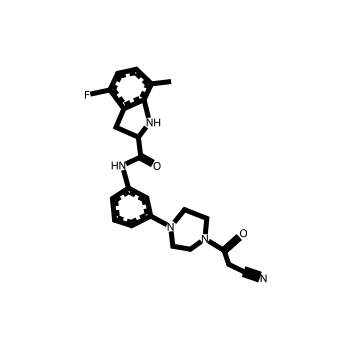 Cc1ccc(F)c2c1NC(C(=O)Nc1cccc(N3CCN(C(=O)CC#N)CC3)c1)C2